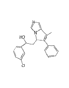 CC1=C(c2ccccc2)C(CC(O)c2cccc(Cl)c2)n2cncc21